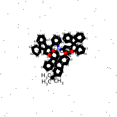 CC(C)(C)c1ccc2c(c1)C1(c3ccccc3-c3ccc(N(c4ccc5c(c4)C(c4ccccc4)(c4ccccc4)c4ccccc4-5)c4ccccc4-c4cccc5c4-c4ccccc4C54CCCCC4)cc31)c1cc(C(C)(C)C)ccc1-2